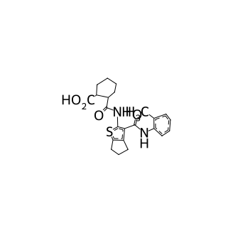 Cc1ccccc1NC(=O)c1c(NC(=O)C2CCCCC2C(=O)O)sc2c1CCC2